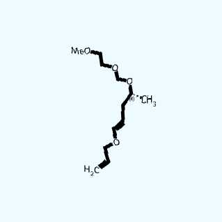 C=CCOC=CC[C@@H](C)OCOCCOC